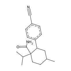 CC1CCC(C(N)=O)(C(C)C)C(c2ccc(C#N)cc2)C1